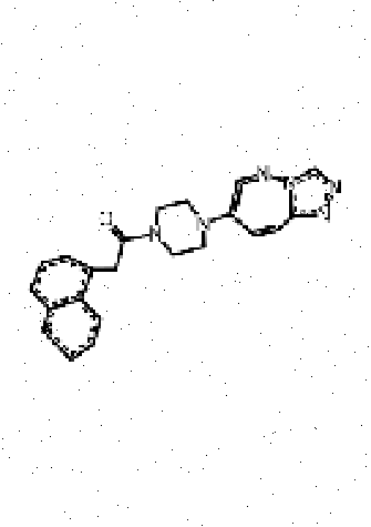 O=C(Cc1cccc2ccccc12)N1CCN(C2=C=Nn3cnnc3C=C2)CC1